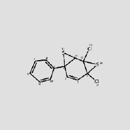 ClC12C=CC3(c4ccccc4)SC3C1(Cl)S2